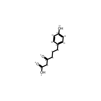 O=C(O)CC(=O)CCCc1ccc(O)cc1